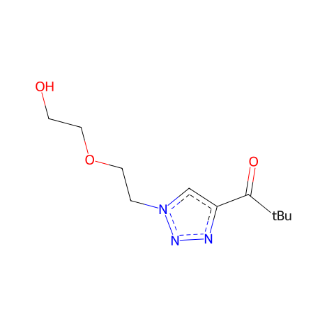 CC(C)(C)C(=O)c1cn(CCOCCO)nn1